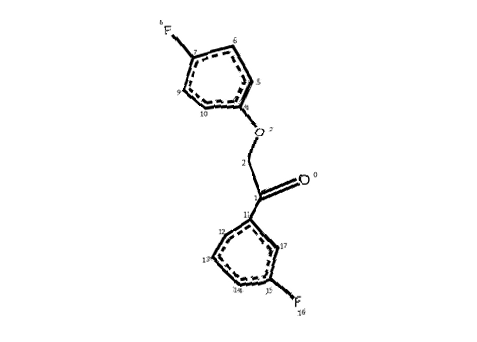 O=C(COc1ccc(F)cc1)c1cccc(F)c1